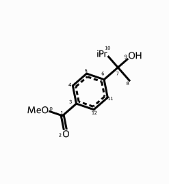 COC(=O)c1ccc(C(C)(O)C(C)C)cc1